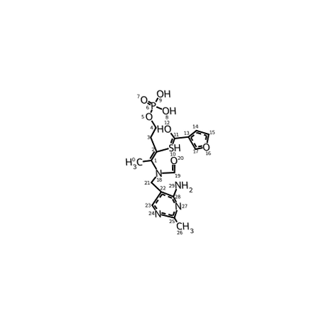 C/C(=C(CCOP(=O)(O)O)/[SH]=C(\O)c1ccoc1)N(C=O)Cc1cnc(C)nc1N